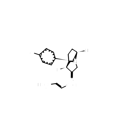 O=C(O)/C=C/C(=O)O.O=C1CN2C3CC[C@H]2C[C@H](c2ccc(Cl)cc2)[C@H]13